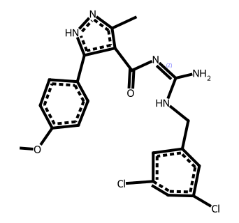 COc1ccc(-c2[nH]nc(C)c2C(=O)/N=C(/N)NCc2cc(Cl)cc(Cl)c2)cc1